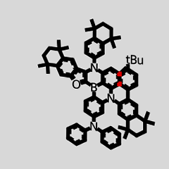 Cc1cc2c3c(c1)N(c1ccc4c(c1)C(C)(C)CCC4(C)C)c1c(oc4cc5c(cc14)C(C)(C)CCC5(C)C)B3c1ccc(N(c3ccccc3)c3ccccc3)cc1N2c1cc2c(cc1-c1ccc(C(C)(C)C)cc1)C(C)(C)CCC2(C)C